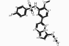 COc1ncc(-c2cnc3ncc(N=[N+]=[N-])n3n2)cc1NS(=O)(=O)c1ccc(F)cc1